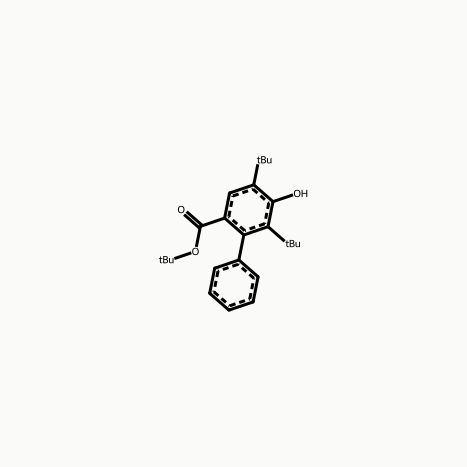 CC(C)(C)OC(=O)c1cc(C(C)(C)C)c(O)c(C(C)(C)C)c1-c1ccccc1